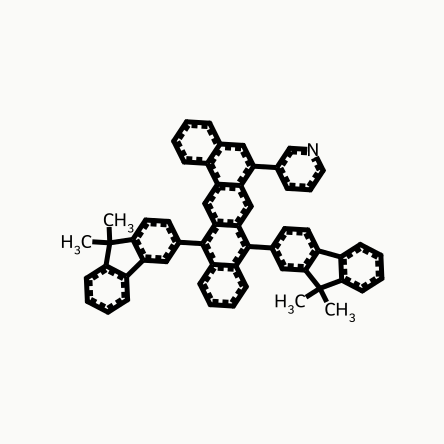 CC1(C)c2ccccc2-c2cc(-c3c4ccccc4c(-c4ccc5c(c4)C(C)(C)c4ccccc4-5)c4cc5c(-c6cccnc6)cc6ccccc6c5cc34)ccc21